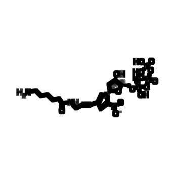 NCCCCCC(=O)NCC#Cc1cc([N+](=O)[O-])n([C@H]2C[C@@H](O)[C@@H](COP(=O)(O)OP(=O)(O)OP(=O)(O)O)O2)c1